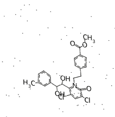 COC(=O)c1ccc(CCn2c(C(O)C(O)c3cccc(C)c3)c(Cl)cc(Cl)c2=O)cc1